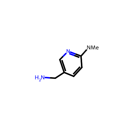 CNc1ccc(CN)cn1